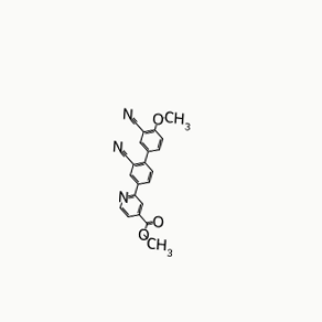 COC(=O)c1ccnc(-c2ccc(-c3ccc(OC)c(C#N)c3)c(C#N)c2)c1